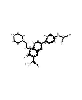 NC(=O)c1cc2cc(-c3ccc(OC(F)F)cn3)cnc2n(CCN2CCOCC2)c1=O